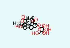 CC(=O)OC1CC(OC2OC(CO)C(O)C(O)C2O)CC2=CCC3C4CCC(C(C)(O)C5CC(C)=C(C)C(=O)O5)C4(C)CCC3C21C